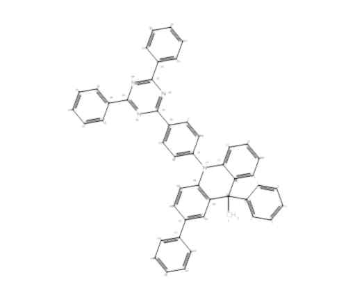 CC1(c2ccccc2)c2ccccc2N(c2ccc(-c3nc(-c4ccccc4)nc(-c4ccccc4)n3)cc2)c2ccc(-c3ccccc3)cc21